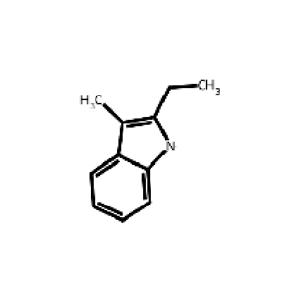 CCC1=C(C)c2ccccc2[N]1